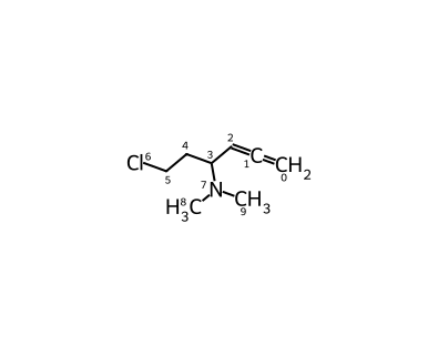 C=C=CC(CCCl)N(C)C